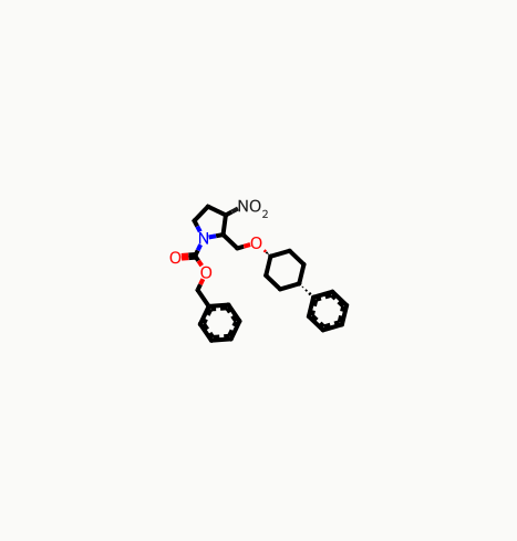 O=C(OCc1ccccc1)N1CCC([N+](=O)[O-])C1CO[C@H]1CC[C@@H](c2ccccc2)CC1